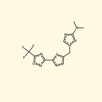 CN(C)c1ncn(Cc2ccc(-c3noc(C(F)(F)F)n3)s2)n1